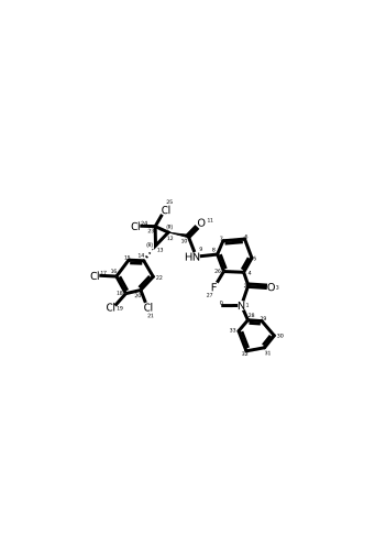 CN(C(=O)c1cccc(NC(=O)[C@H]2[C@H](c3cc(Cl)c(Cl)c(Cl)c3)C2(Cl)Cl)c1F)c1ccccc1